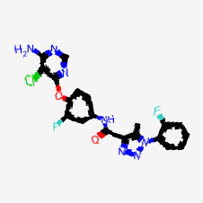 Cc1c(C(=O)Nc2ccc(Oc3ncnc(N)c3Cl)c(F)c2)nnn1-c1ccccc1F